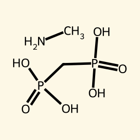 CN.O=P(O)(O)CP(=O)(O)O